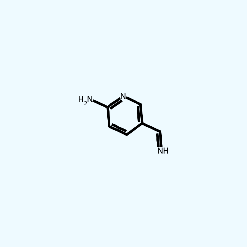 N=Cc1ccc(N)nc1